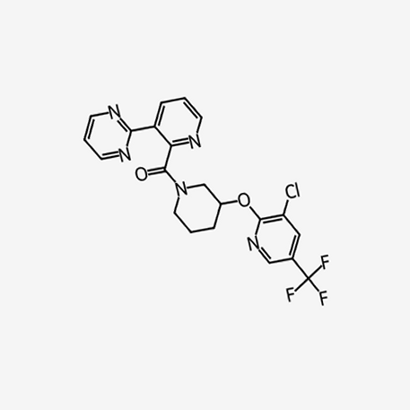 O=C(c1ncccc1-c1ncccn1)N1CCCC(Oc2ncc(C(F)(F)F)cc2Cl)C1